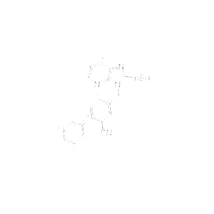 CCCCc1nc2cccnc2n1Cc1ccc(-c2ccccc2)c(C#N)c1